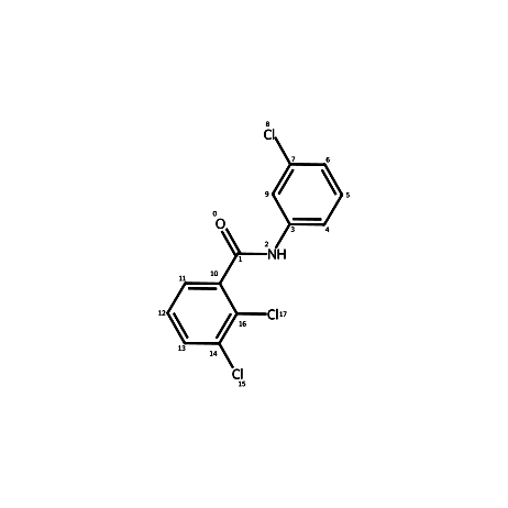 O=C(Nc1cccc(Cl)c1)c1cccc(Cl)c1Cl